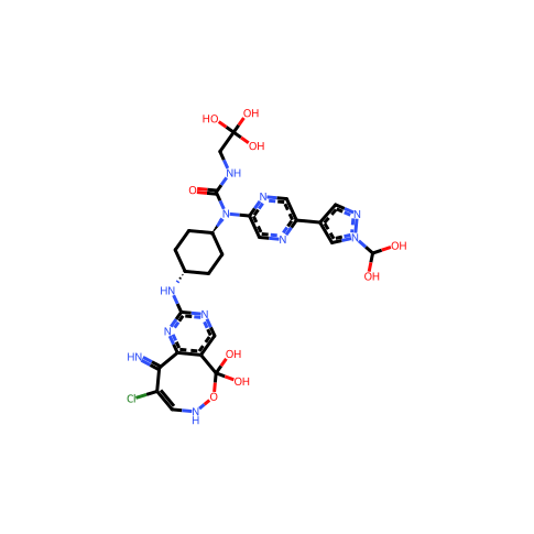 N=C1/C(Cl)=C\NOC(O)(O)c2cnc(N[C@H]3CC[C@H](N(C(=O)NCC(O)(O)O)c4cnc(-c5cnn(C(O)O)c5)cn4)CC3)nc21